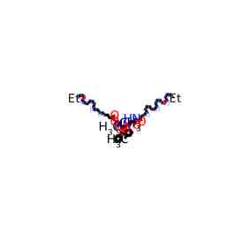 CC/C=C\C/C=C\C/C=C\C/C=C\C/C=C\C/C=C\CC(=O)NC(=O)CCNC(=O)[C@H](OC(c1ccccc1)c1ccccc1C)C(C)(C)COC(=O)CCC/C=C/C/C=C\C/C=C\C/C=C\C/C=C\CC